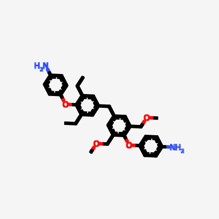 CCc1cc(Cc2cc(COC)c(Oc3ccc(N)cc3)c(COC)c2)cc(CC)c1Oc1ccc(N)cc1